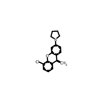 C=C1c2ccc(N3CCCC3)cc2Oc2c(Cl)cccc21